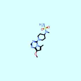 COc1cc(C)n2c(N3CCC(N(C)S(N)(=O)=O)CC3)ncnc12